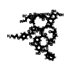 CC[C@H](CC(C)C)C(=O)N[C@H]1C(=O)C[C@@H](CC(=O)NS(=O)(=O)c2ccc(OCCN)cc2)C(=O)N[C@H]2C(=O)C[C@H]3C(=O)N[C@H](C(=O)N[C@H](C(=O)CC4C5CC6CC(C5)CC4C6)c4cc(O)cc(O)c4-c4cc3ccc4O)[C@H](O)c3ccc(c(Cl)c3)Oc3cc2cc(c3O[C@@H]2C[C@H](CO)[C@@H](O)[C@H](O)[C@H]2O)Oc2ccc(cc2Cl)[C@H]1O